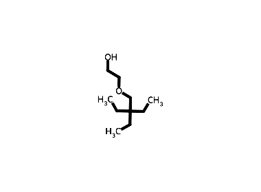 CCC(CC)(CC)COCCO